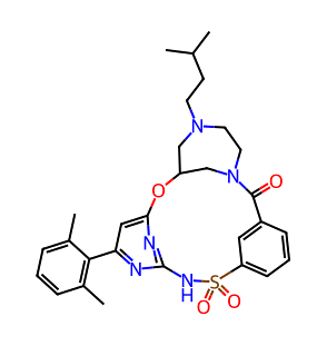 Cc1cccc(C)c1-c1cc2nc(n1)NS(=O)(=O)c1cccc(c1)C(=O)N1CCN(CCC(C)C)CC(C1)O2